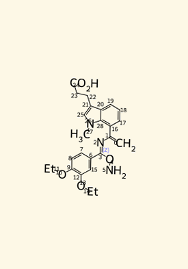 C=C(/N=C(\ON)c1ccc(OCC)c(OCC)c1)c1cccc2c(CCC(=O)O)cn(C)c12